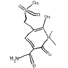 C[N+]1(C)C(=O)C(C(N)=O)=CC(CS(=O)(=O)O)=C1O